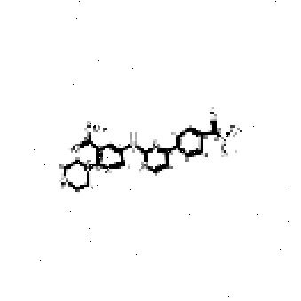 COC(=O)c1cc(Nc2nccc(-c3ccc(C(=O)N(C)C#N)cc3)n2)ccc1N1CCOCC1